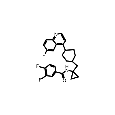 O=C(NC1(CC2CCC(c3ccnc4ccc(F)cc34)CC2)CC1)c1ccc(F)c(F)c1